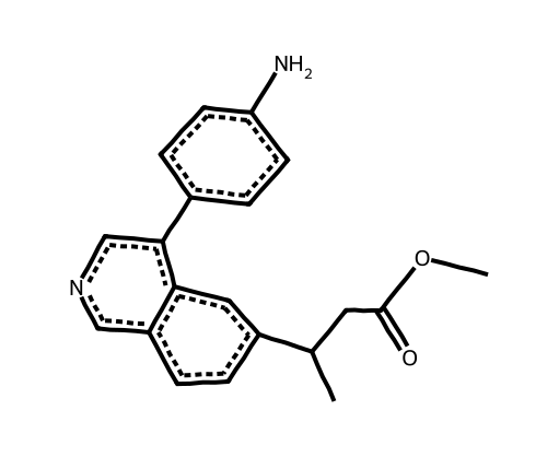 COC(=O)CC(C)c1ccc2cncc(-c3ccc(N)cc3)c2c1